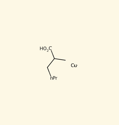 CCCCC(C)C(=O)O.[Cu]